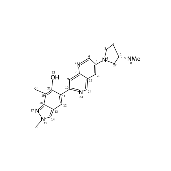 CN[C@H]1CCN(c2cnc3cc(-c4cc5cn(C)nc5c(C)c4O)ncc3c2)C1